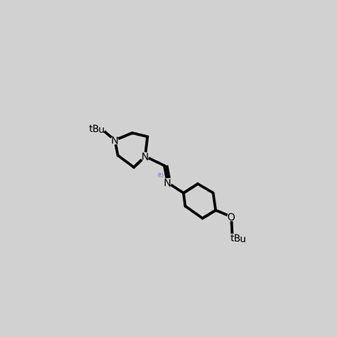 CC(C)(C)OC1CCC(/N=C/N2CCN(C(C)(C)C)CC2)CC1